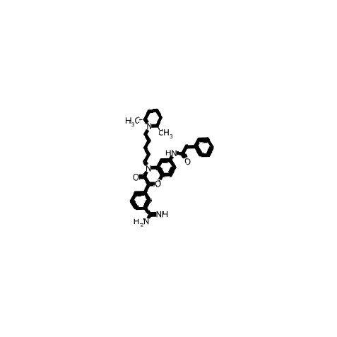 C[C@@H]1CCC[C@H](C)N1CCCCCN1C(=O)C(c2cccc(C(=N)N)c2)Oc2ccc(NC(=O)Cc3ccccc3)cc21